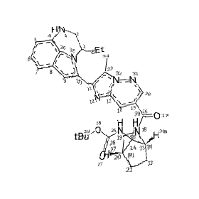 CCC1CNc2cccc3cc(-c4nc5cc(C(=O)N6C[C@H]7CC[C@@H]6[C@@H]7NC(=O)OC(C)(C)C)cnn5c4C)n1c23